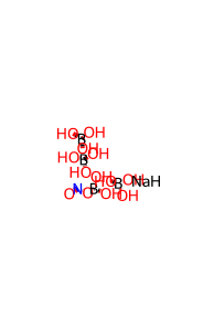 O=NOB(O)O.OB(O)O.OB(O)O.OB(O)O.[NaH]